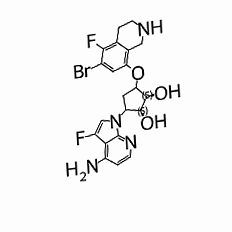 Nc1ccnc2c1c(F)cn2C1CC(Oc2cc(Br)c(F)c3c2CNCC3)[C@@H](O)[C@H]1O